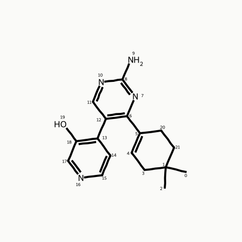 CC1(C)CC=C(c2nc(N)ncc2-c2ccncc2O)CC1